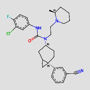 C[C@H]1CCCCN1CCN(C(=O)Nc1ccc(F)c(Cl)c1)[C@@H]1CC[C@@]2(c3cccc(C#N)c3)CC2C1